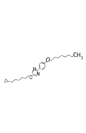 CCCCCCCCOc1ccc(-c2ncc(OCCCCCCC3CC3)cn2)cc1